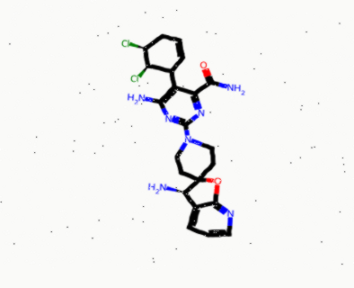 NC(=O)c1nc(N2CCC3(CC2)Oc2ncccc2[C@H]3N)nc(N)c1C1C=CC[C@H](Cl)[C@@H]1Cl